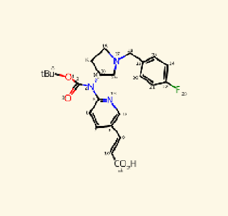 CC(C)(C)OC(=O)N(c1ccc(C=CC(=O)O)cn1)[C@@H]1CCN(Cc2ccc(F)cc2)C1